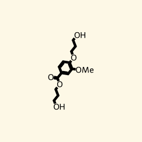 COc1cc(C(=O)OCCCO)ccc1OCCCO